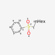 CCCCCCCS(=O)(=O)c1ccccc1